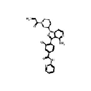 C=CC(=O)N1CCCC(n2nc(-c3ccc(C(=O)Nc4ccccn4)cc3Cl)c3c(N)nccc32)C1